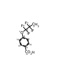 CC(F)(F)C(F)(F)Oc1ccc(C(=O)O)cc1